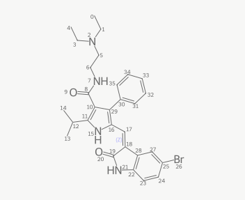 CCN(CC)CCNC(=O)c1c(C(C)C)[nH]c(/C=C2\C(=O)Nc3ccc(Br)cc32)c1-c1ccccc1